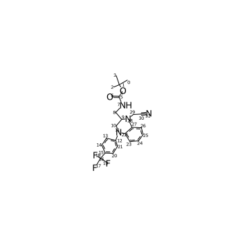 CC(C)(C)OC(=O)NCC1CN(c2ccc(C(F)(F)F)cc2)c2ccccc2N1CC#N